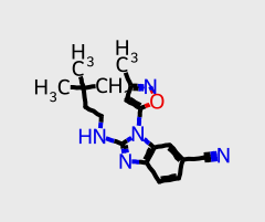 Cc1cc(-n2c(NCCC(C)(C)C)nc3ccc(C#N)cc32)on1